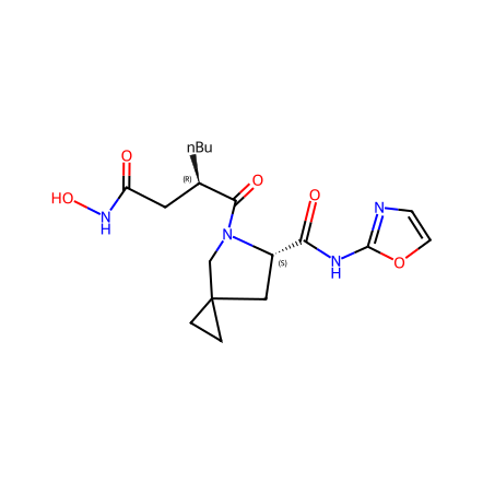 CCCC[C@H](CC(=O)NO)C(=O)N1CC2(CC2)C[C@H]1C(=O)Nc1ncco1